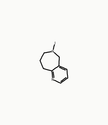 IN1CCCc2ncccc2C1